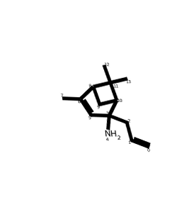 C=CCC1(N)C=C(C)C2CC1C2(C)C